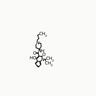 CCCCN1CCC(NC(=O)c2c(O)c3ccccc3n(C(C)C)c2=O)CC1